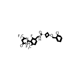 O=c1cc(C(F)(F)F)nc(-c2c(C(F)(F)F)ccc(CNC(=O)[C@H]3C[C@@H](OCc4ccccc4Cl)C3)c2F)[nH]1